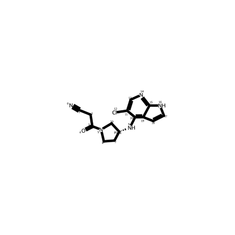 N#CCC(=O)N1CC[C@@H](Nc2c(Cl)cnc3[nH]ccc23)C1